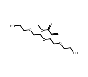 C=CC(=O)OC.OCCOCCOCCOCCO